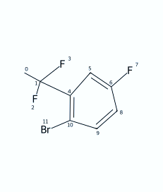 CC(F)(F)c1cc(F)ccc1Br